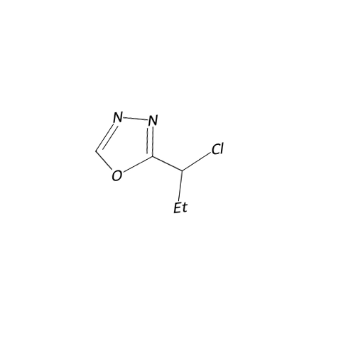 CCC(Cl)c1nnco1